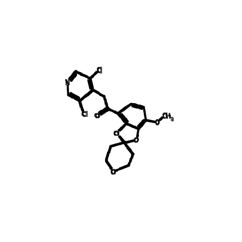 COc1ccc(C(=O)Cc2c(Cl)cncc2Cl)c2c1OC1(CCOCC1)O2